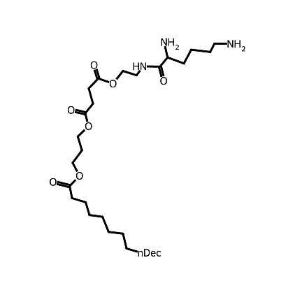 CCCCCCCCCCCCCCCCCC(=O)OCCCOC(=O)CCC(=O)OCCNC(=O)C(N)CCCCN